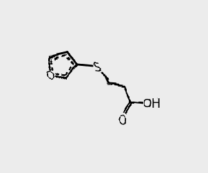 O=C(O)CCSc1ccoc1